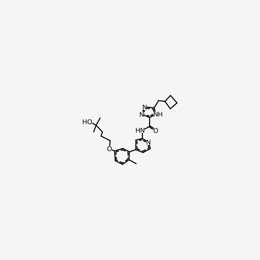 Cc1ccc(OCCCC(C)(C)O)cc1-c1ccnc(NC(=O)c2nnc(CC3CCC3)[nH]2)c1